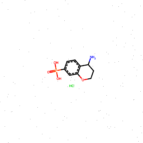 Cl.NC1CCOc2cc(P(=O)(O)O)ccc21